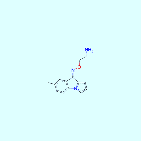 Cc1ccc2c(c1)/C(=N/OCCN)c1cccn1-2